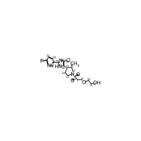 C[C@H]1CN(S(=O)(=O)CCOCCO)CC[C@H]1c1[nH]c(-c2ccc(F)cn2)nc1Cl